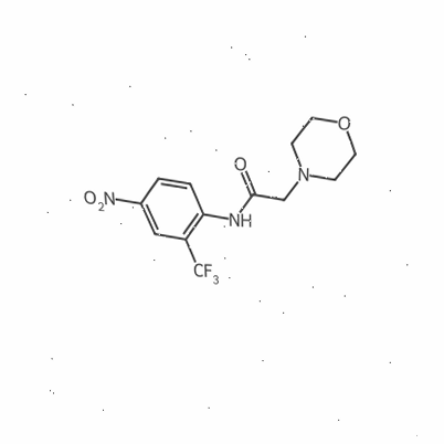 O=C(CN1CCOCC1)Nc1ccc([N+](=O)[O-])cc1C(F)(F)F